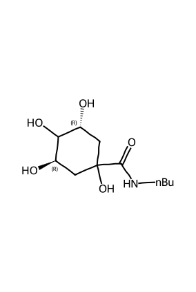 CCCCNC(=O)C1(O)C[C@@H](O)C(O)[C@H](O)C1